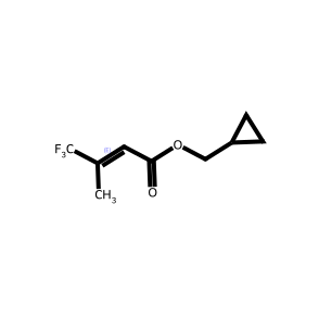 C/C(=C\C(=O)OCC1CC1)C(F)(F)F